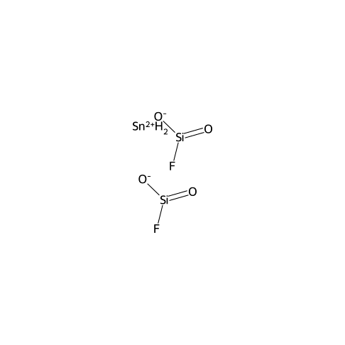 O=[Si]([O-])F.O=[Si]([O-])F.[SnH2+2]